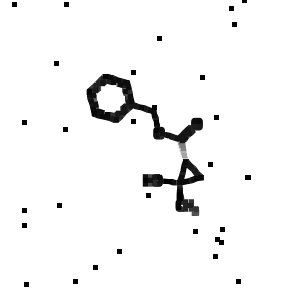 C[C@]1(O)C[C@H]1C(=O)OCc1ccccc1